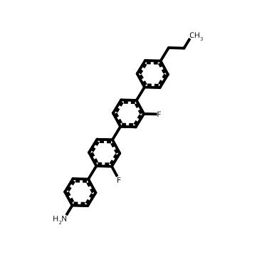 CCCc1ccc(-c2ccc(-c3ccc(-c4ccc(N)cc4)c(F)c3)cc2F)cc1